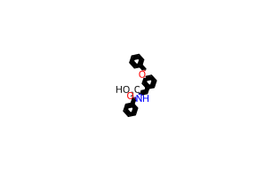 O=C(O)/C(=C\c1cccc(OCc2ccccc2)c1)NC(=O)c1ccccc1